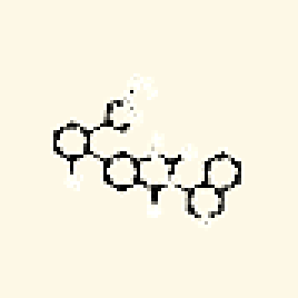 Cn1cc(-c2cccc(Cl)c2-c2ccc3c(=O)n(-c4cncc5ccccc45)c(=O)[nH]c3c2)cn1